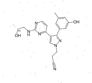 Cc1cc(O)cc(-c2nn(CCC#N)cc2-c2ccnc(NC[C@@H](C)O)n2)c1